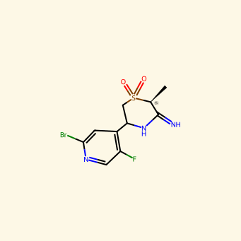 C[C@H]1C(=N)NC(c2cc(Br)ncc2F)CS1(=O)=O